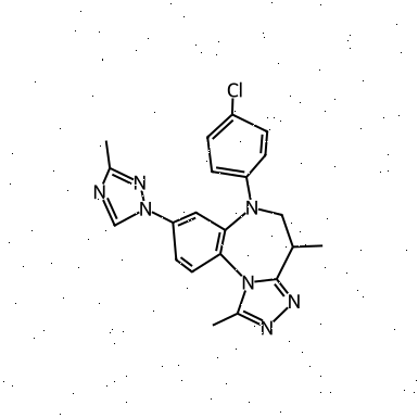 Cc1ncn(-c2ccc3c(c2)N(c2ccc(Cl)cc2)CC(C)c2nnc(C)n2-3)n1